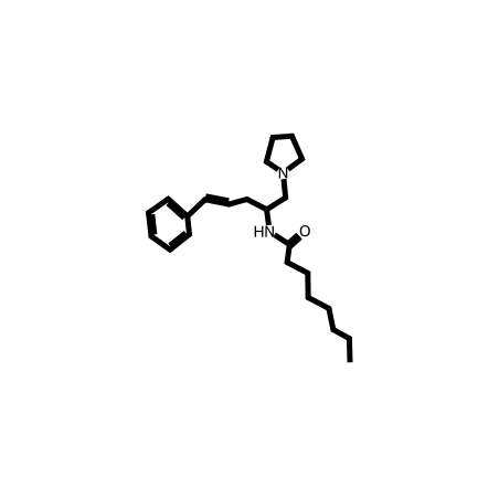 CCCCCCCC(=O)NC(C/C=C/c1ccccc1)CN1CCCC1